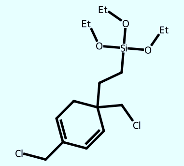 CCO[Si](CCC1(CCl)C=CC(CCl)=CC1)(OCC)OCC